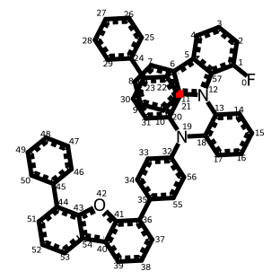 Fc1cccc2c3ccccc3n(-c3ccccc3N(c3ccc(-c4ccccc4)cc3)c3ccc(-c4cccc5c4oc4c(-c6ccccc6)cccc45)cc3)c12